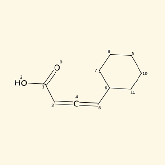 O=C(O)C=C=CC1[CH]CCCC1